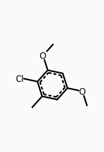 COc1cc(C)c(Cl)c(OC)c1